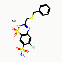 NS(=O)(=O)c1cc2c(cc1Cl)N=C(CSCc1ccccc1)NS2(=O)=O.[Cu]